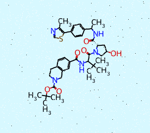 Cc1ncsc1-c1ccc(C(C)NC(=O)[C@@H]2C[C@@H](O)CN2C(=O)C(NC(=O)c2ccc3c(c2)CN(C(=O)OC(C)(C)C)CC3)C(C)(C)C)cc1